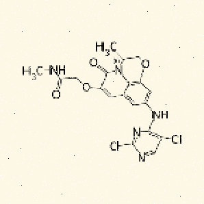 CNC(=O)COc1cc2cc(Nc3nc(Cl)ncc3Cl)cc3c2n(c1=O)[C@H](C)CO3